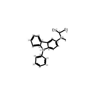 CCC(CC)N(C)c1ccc2c(c1)c1ccccc1n2-c1ccccc1